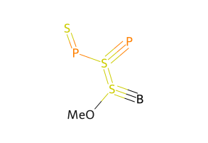 B#S(OC)=S(#P)P=S